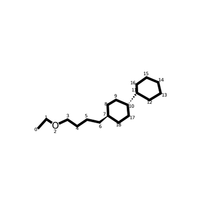 CCOCCCC[C@H]1CC[C@H](C2CCCCC2)CC1